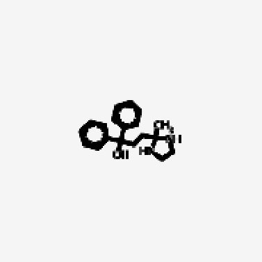 CC1(CCC(O)(c2ccccc2)c2ccccc2)NCCN1